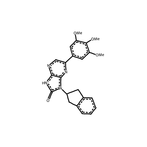 COc1cc(-c2cnc3[nH]c(=O)n(C4Cc5ccccc5C4)c3n2)cc(OC)c1OC